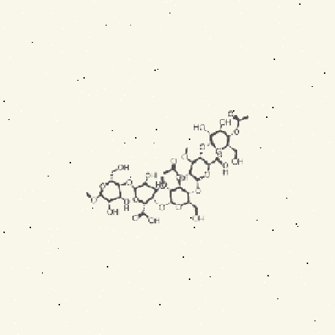 CO[C@H]1O[C@H](CO)[C@@H](O[C@@H]2O[C@@H](C(=O)O)[C@@H](O[C@H]3O[C@H](CO)[C@@H](O[C@@H]4O[C@H](C(=O)O)[C@@H](O[C@H]5O[C@H](CO)[C@@H](OC(C)=O)[C@H](O)[C@H]5O)[C@H](OC)[C@H]4OC(C)=O)[C@H](O)[C@H]3O)[C@H](OC)[C@H]2O)[C@H](O)[C@H]1O